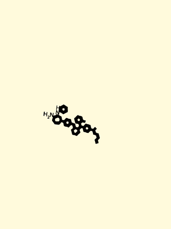 C=C/C=C\C=C(/C)c1ccc(/C(=C2\C=CCC\C2=C/c2ccc(C3C=CCC(N)=C(Nc4ccccc4)C3)cc2)c2ccccc2C)cc1